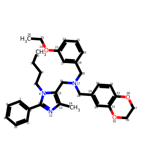 CCCCn1c(-c2ccccc2)nc(C)c1CN(Cc1cccc(OCC)c1)Cc1ccc2c(c1)OCCO2